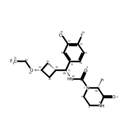 C[C@@H]1C(=O)NCCN1C(=O)N[C@@H](c1ccc(F)c(Cl)c1)[C@H]1C[C@@H](OCC(F)(F)F)C1